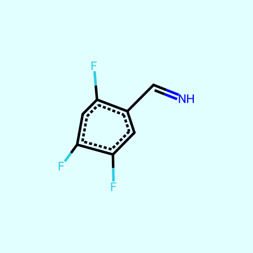 N=Cc1cc(F)c(F)cc1F